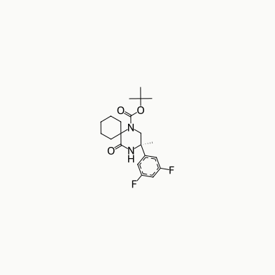 CC(C)(C)OC(=O)N1C[C@@](C)(c2cc(F)cc(F)c2)NC(=O)C12CCCCC2